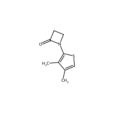 Cc1csc(N2CCC2=O)c1C